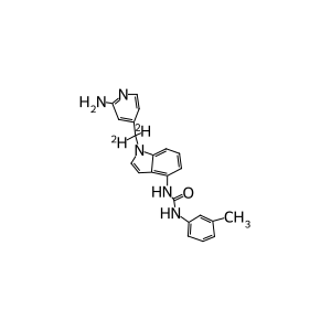 [2H]C([2H])(c1ccnc(N)c1)n1ccc2c(NC(=O)Nc3cccc(C)c3)cccc21